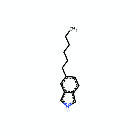 CCCCCCc1ccc2c[nH]cc2c1